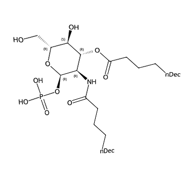 CCCCCCCCCCCCCC(=O)N[C@H]1[C@@H](OP(=O)(O)O)O[C@H](CO)[C@@H](O)[C@@H]1OC(=O)CCCCCCCCCCCCC